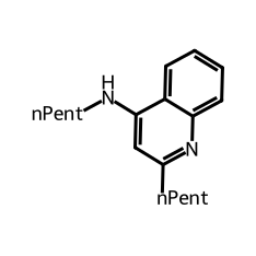 CCCCCNc1cc(CCCCC)nc2ccccc12